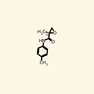 Cc1ccc(NC(=O)[C@]2(C)CO2)cc1